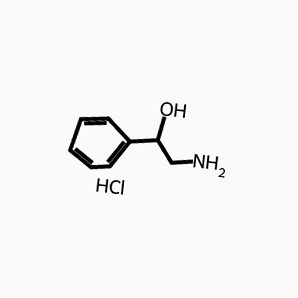 Cl.NCC(O)c1ccccc1